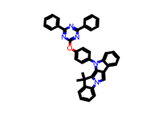 CC1(C)c2ccccc2-n2cc3c4ccccc4n(-c4ccc(Oc5nc(-c6ccccc6)nc(-c6ccccc6)n5)cc4)c3c21